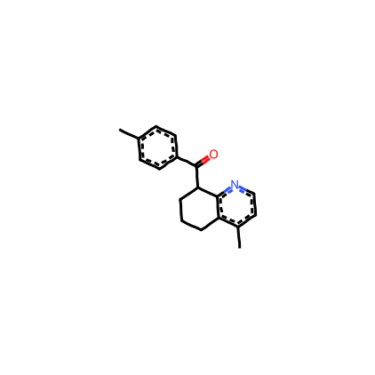 Cc1ccc(C(=O)C2CCCc3c(C)ccnc32)cc1